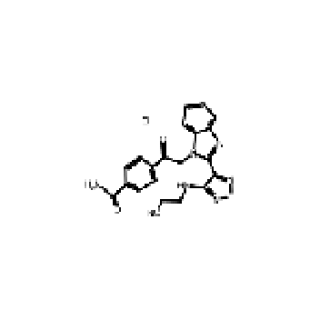 Cl.N#CCCNc1nonc1-c1nc2ccccc2n1CC(=O)c1ccc(C(N)=O)cc1